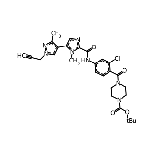 C#CCn1cc(-c2cnc(C(=O)Nc3ccc(C(=O)N4CCN(C(=O)OC(C)(C)C)CC4)c(Cl)c3)n2C)c(C(F)(F)F)n1